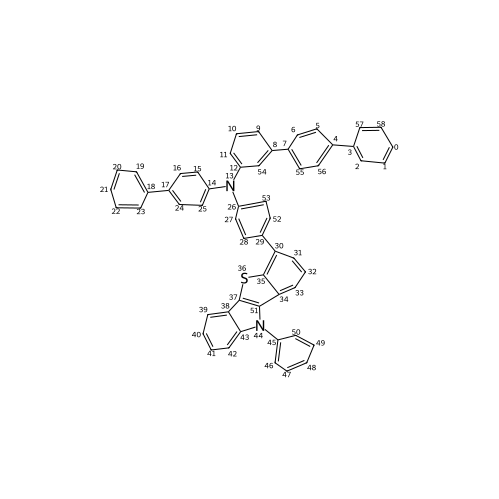 c1ccc(-c2ccc(-c3cccc(N(c4ccc(-c5ccccc5)cc4)c4ccc(-c5cccc6c5sc5c7ccccc7n(-c7ccccc7)c65)cc4)c3)cc2)cc1